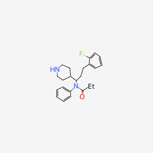 CCC(=O)N(c1ccccc1)C(CCc1ccccc1F)C1CCNCC1